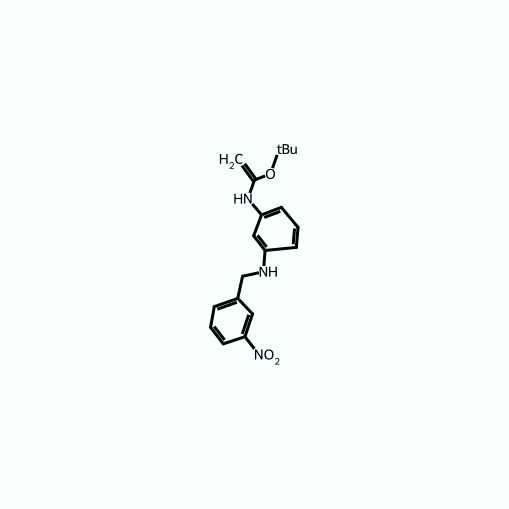 C=C(Nc1cccc(NCc2cccc([N+](=O)[O-])c2)c1)OC(C)(C)C